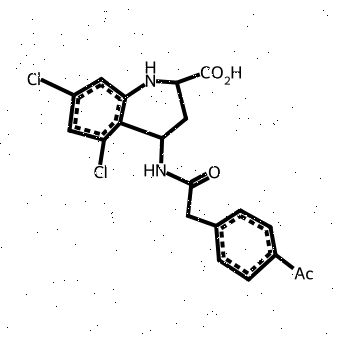 CC(=O)c1ccc(CC(=O)NC2CC(C(=O)O)Nc3cc(Cl)cc(Cl)c32)cc1